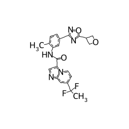 Cc1ccc(-c2noc(C3COC3)n2)cc1NC(=O)c1cnc2cc(C(C)(F)F)ccn12